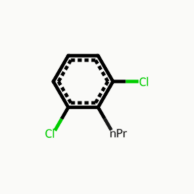 [CH2]CCc1c(Cl)cccc1Cl